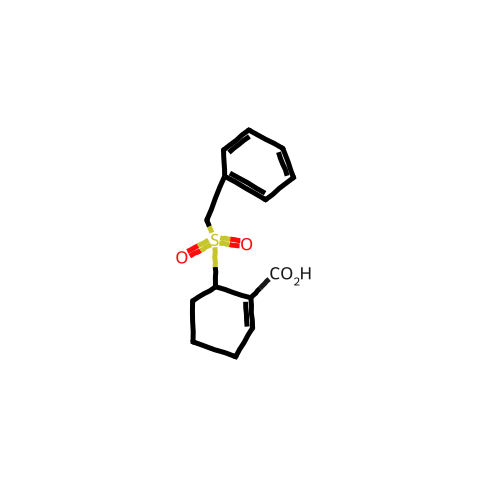 O=C(O)C1=CCCCC1S(=O)(=O)Cc1ccccc1